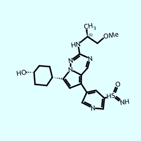 COC[C@H](C)Nc1ncc2c(-c3cncc([SH](=N)=O)c3)cc([C@H]3CC[C@@H](O)CC3)n2n1